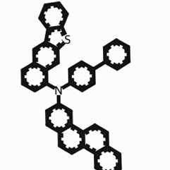 c1ccc(-c2ccc(N(c3ccc4ccc5c6ccccc6ccc5c4c3)c3cccc4cc5c(cc34)sc3ccccc35)cc2)cc1